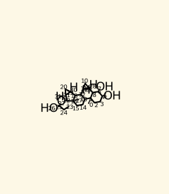 C[C@]12CC[C@H](O)[C@H](O)C1[C@@H]1C[C@@H]1C1C2CC[C@@]2(C)C1[C@@H]1C[C@@H]1[C@@]21CCC(O)O1